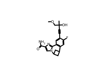 COCC(C)(O)C#Cc1cc2c(cc1F)C1CC(C1)n1cc(C(N)=O)nc1-2